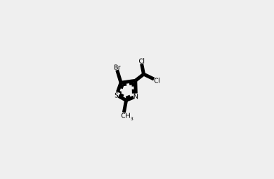 Cc1nc(C(Cl)Cl)c(Br)s1